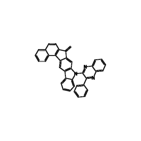 C=C1c2cc3c(cc2-c2c1ccc1ccccc21)c1ccccc1n3-c1nc2ccccc2nc1-c1ccccc1